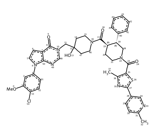 COc1cc(-n2ccc3c(=O)n(CC4(O)CCN(C(=O)[C@@H]5CCN(C(=O)c6sc(-c7ccc(C)nc7)nc6C)C[C@H]5c5ccccc5)CC4)cnc32)ccc1Cl